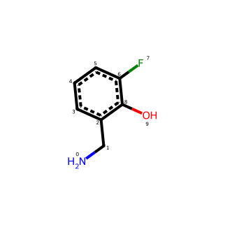 NCc1cccc(F)c1O